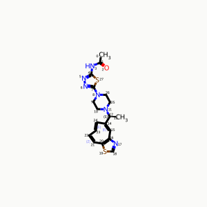 CC(=O)Nc1nnc(N2CCN([C@@H](C)C3=C\c4ncsc4\C=C/C=C/3)CC2)s1